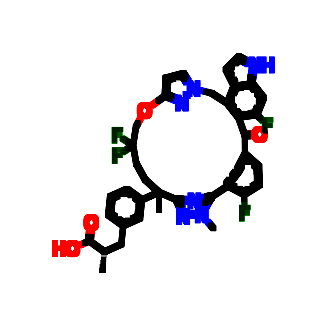 C[C@@H](Cc1cccc(C2(C)CCC(F)(F)COc3ccn(n3)Cc3c(c(F)cc4[nH]ccc34)C(=O)c3ccc(F)c(c3)-c3nc2nn3C)c1)C(=O)O